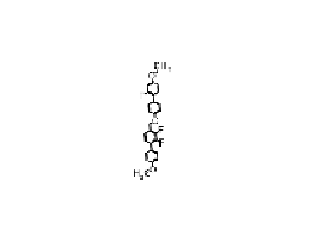 CCOc1ccc(-c2ccc(OCc3ccc(-c4ccc(OC)cc4)c(F)c3F)cc2)c(F)c1